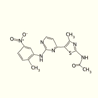 CC(=O)Nc1nc(C)c(-c2ccnc(Nc3cc([N+](=O)[O-])ccc3C)n2)s1